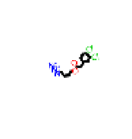 [N-]=[N+]=NC/C=C\COC(=O)Cc1ccc(Cl)c(Cl)c1